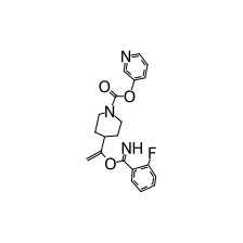 C=C(OC(=N)c1ccccc1F)C1CCN(C(=O)Oc2cccnc2)CC1